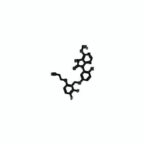 COc1ncnc2c1[nH]c(=O)n2-c1cc(OCc2c(OCCO)ccc(F)c2F)ccc1Cl